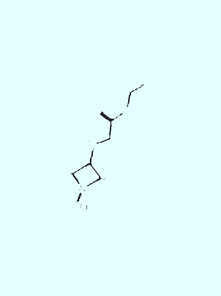 CCOC(=O)CSC1CN(C)C1